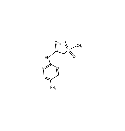 C[C@@H](CS(C)(=O)=O)Nc1ncc(N)cn1